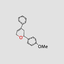 COc1ccc(C2CC(c3ccccc3)=CCO2)cc1